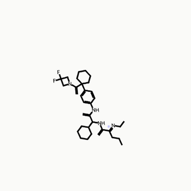 C=C(NC(C(=C)Nc1ccc(C2(C(=C)N3CC(F)(F)C3)CCCCC2)cc1)C1CCCCC1)/C(CCC)=N/CC